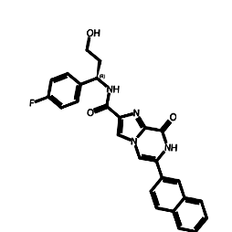 O=C(N[C@H](CCO)c1ccc(F)cc1)c1cn2cc(-c3ccc4ccccc4c3)[nH]c(=O)c2n1